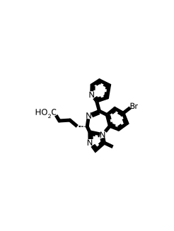 Cc1cnc2n1-c1ccc(Br)cc1C(c1ccccn1)=N[C@H]2CCCC(=O)O